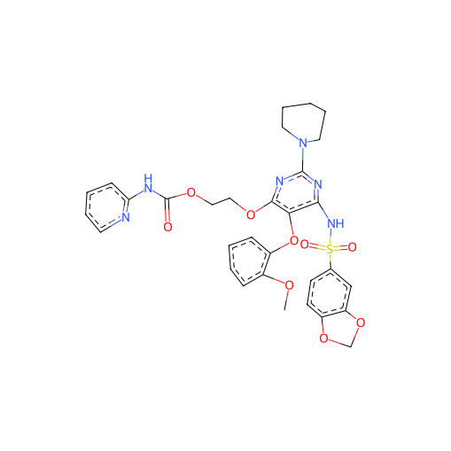 COc1ccccc1Oc1c(NS(=O)(=O)c2ccc3c(c2)OCO3)nc(N2CCCCC2)nc1OCCOC(=O)Nc1ccccn1